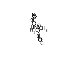 CC(C)(CCCOc1ccc(Cl)cc1)C(=O)N[C@H]1CC[C@H](Oc2cccnc2)CC1